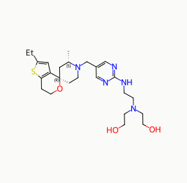 CCc1cc2c(s1)CCO[C@@]21CCN(Cc2cnc(NCCN(CCO)CCO)nc2)[C@@H](C)C1